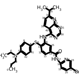 CCCN(CC)c1ccc(Sc2ccc(C(=O)Nc3ccc(Br)cn3)cc2Nc2ncnc3nc(C(C)C)ccc23)cc1